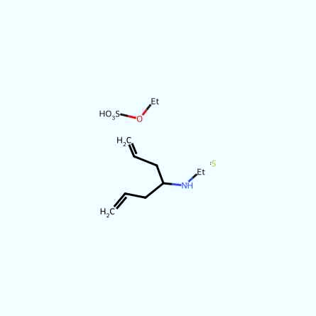 C=CCC(CC=C)NCC.CCOS(=O)(=O)O.[S]